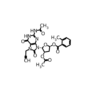 C#CCn1c(=O)n([C@@H]2O[C@@H](OC(=O)c3ccccc3C)C[C@H]2OC(C)=O)c2nc(NC(C)=O)[nH]c(=O)c21